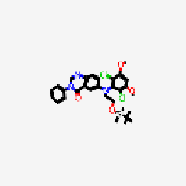 COc1cc(OC)c(Cl)c(N(CCO[Si](C)(C)C(C)(C)C)c2ccc3ncn(-c4ccccc4)c(=O)c3c2)c1Cl